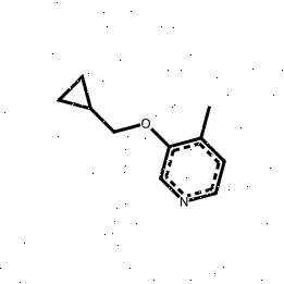 Cc1ccncc1OCC1CC1